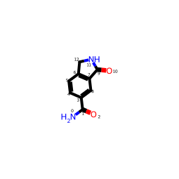 NC(=O)c1ccc2c(c1)C(=O)NC2